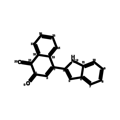 O=C1C=C(c2cc3ccccc3[nH]2)c2ccccc2C1=O